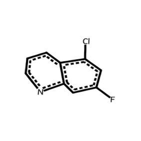 Fc1cc(Cl)c2cccnc2c1